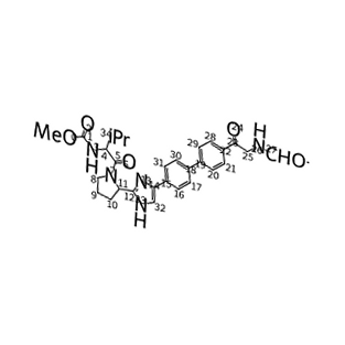 COC(=O)NC(C(=O)N1CCCC1c1nc(-c2ccc(-c3ccc(C(=O)CN[C]=O)cc3)cc2)c[nH]1)C(C)C